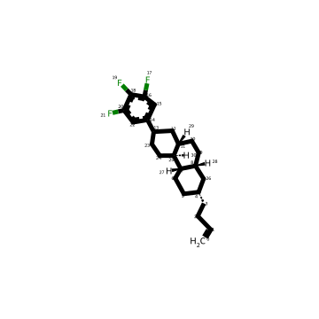 C=CCC[C@@H]1CC[C@H]2[C@H](CC[C@H]3CC(c4cc(F)c(F)c(F)c4)CC[C@@H]32)C1